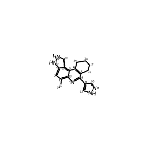 Fc1cc2c(c3c4c(c(-c5cn[nH]c5)nc13)CCCC4)CNN2